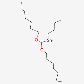 CCCCCCCO[CH](OCCCCCCC)[Sn][CH2]CCC